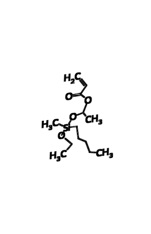 C=CC(=O)OC(C)O[Si](C)(CCCCC)OCC